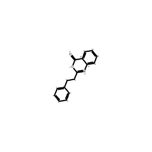 O=c1oc(CCc2ccccc2)nc2ccccc12